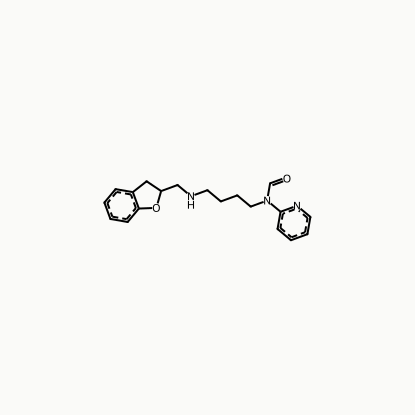 O=CN(CCCCNCC1Cc2ccccc2O1)c1ccccn1